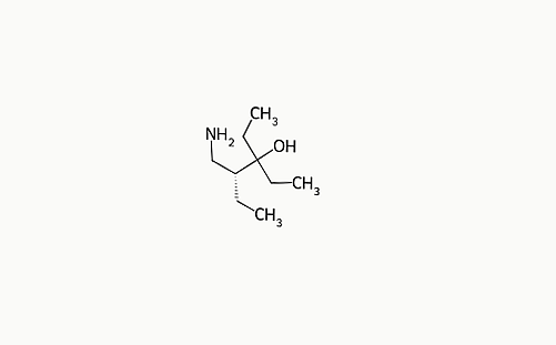 CC[C@H](CN)C(O)(CC)CC